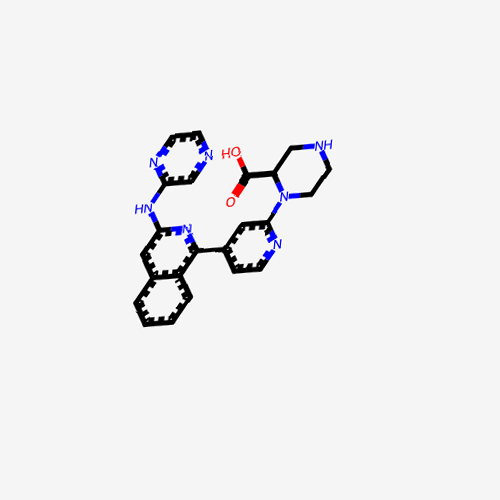 O=C(O)C1CNCCN1c1cc(-c2nc(Nc3cnccn3)cc3ccccc23)ccn1